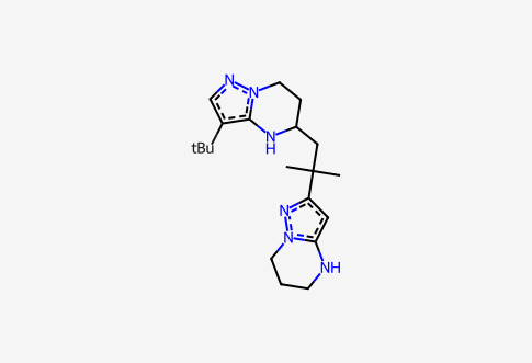 CC(C)(C)c1cnn2c1NC(CC(C)(C)c1cc3n(n1)CCCN3)CC2